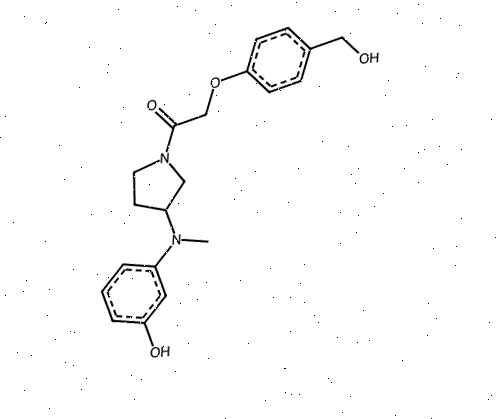 CN(c1cccc(O)c1)C1CCN(C(=O)COc2ccc(CO)cc2)C1